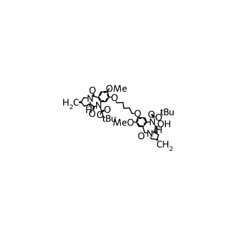 C=C1C[C@H]2C(=O)N(C(=O)OC(C)(C)C)c3cc(OCCCCCOc4cc5c(cc4OC)C(=O)N4CC(=C)C[C@H]4[C@H](O)N5C(=O)OC(C)(C)C)c(OC)cc3C(=O)N2C1